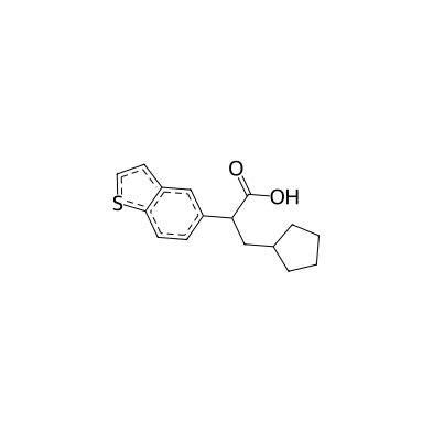 O=C(O)C(CC1CCCC1)c1ccc2sccc2c1